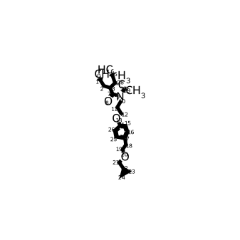 C#CCC(CC#C)C(=O)N(CCCOc1ccc(CCOCC2CC2)cc1)C(C)C